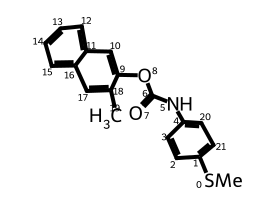 CSc1ccc(NC(=O)Oc2cc3ccccc3cc2C)cc1